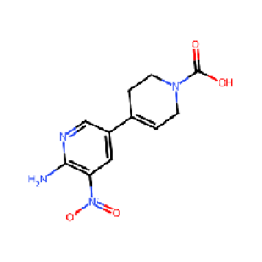 Nc1ncc(C2=CCN(C(=O)O)CC2)cc1[N+](=O)[O-]